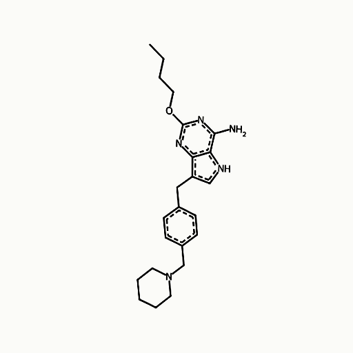 CCCCOc1nc(N)c2[nH]cc(Cc3ccc(CN4CCCCC4)cc3)c2n1